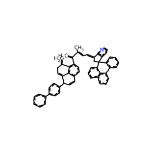 C=C(/C(C)=C/C=C1\CC2(c3ccccc3-c3cccc4cccc2c34)c2cccnc21)c1ccc2c3c1C(=C)CC=C3C(c1ccc(-c3ccccc3)cc1)C=C2